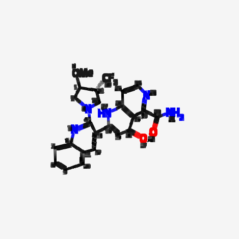 COC1CN(c2nc3ccccc3cc2-c2cc(=O)c3c(C(N)=O)nccc3[nH]2)C[C@H]1C(F)(F)F